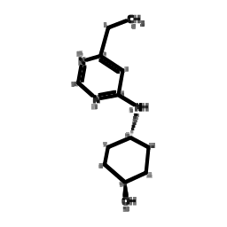 CCc1cc(N[C@H]2CC[C@H](O)CC2)ncn1